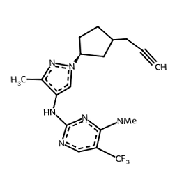 C#CCC1CC[C@H](n2cc(Nc3ncc(C(F)(F)F)c(NC)n3)c(C)n2)C1